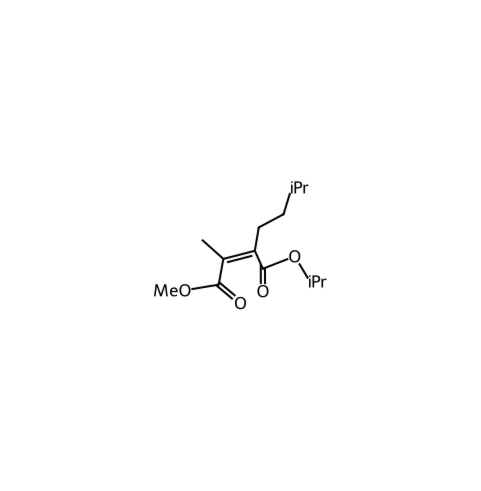 COC(=O)/C(C)=C(/CCC(C)C)C(=O)OC(C)C